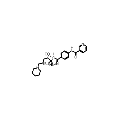 CC(C)(C)C1(N(CCCN2CCCCC2)C(=O)O)NN=C(c2ccc(NC(=O)c3cccnc3)cc2)O1